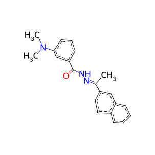 CC(=NNC(=O)c1cccc(N(C)C)c1)c1ccc2ccccc2c1